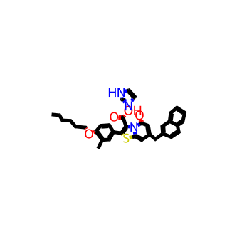 CCCCCCOc1ccc(-c2sc3cc(Cc4ccc5ccccc5c4)cc(=O)n3c2C(=O)O)cc1C.c1c[nH]cn1